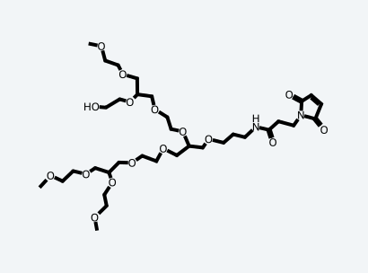 COCCOCC(COCCOC(COCCCNC(=O)CCN1C(=O)C=CC1=O)COCCOCC(COCCOC)OCCOC)OCCO